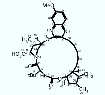 COc1ccc2nc3c(nc2c1)O[C@H]1CN(C(=O)[C@H](C(C)(C)C)NC(=O)O[C@@H]2C[C@H](C)[C@H](C)[C@H]2CCCCC3)[C@H](C(=O)O)[C@@H]1C